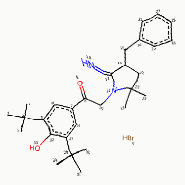 Br.CC(C)(C)c1cc(C(=O)CN2C(=N)C(Cc3ccccc3)CC2(C)C)cc(C(C)(C)C)c1O